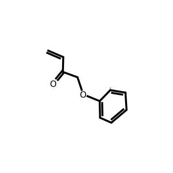 C=CC(=O)COc1[c]cccc1